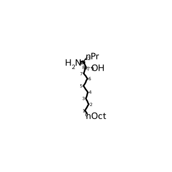 CCCCCCCCCCCCCCC[C@@H](O)[C@@H](N)CCC